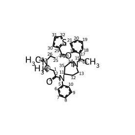 CCC(=O)N(c1ccccc1)C1CCN([C@H](C)c2ccccc2O[C@H](CCNC)c2cccs2)CC1